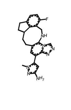 Cn1nc(N)cc1-c1cc2c(n3cnnc13)NCc1c(F)ccc3c1C(CC3)CC2